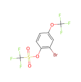 O=S(=O)(Oc1ccc(OC(F)(F)F)cc1Br)C(F)(F)F